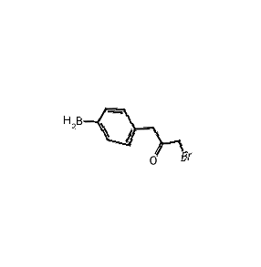 Bc1ccc(CC(=O)CBr)cc1